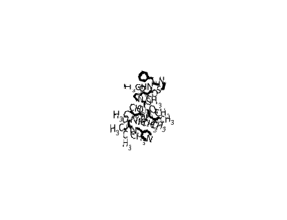 CC[C@H](C)[C@@H]([C@H](CC(=O)N1CCC[C@H]1[C@H](OC)[C@@H](C)C(=O)N[C@@H](Cc1ccccc1)c1nccs1)OC)N(C)C(=O)[C@@H](NC(=O)[C@H](C(C)C)N(C)Cc1ccncc1)C(C)C